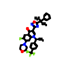 CC(c1ccc(C(F)(F)F)cc1)n1cc(-c2noc(C(C)(C)c3ccccc3)n2)c(=O)c2cc(F)c(N3CCOCC3)cc21